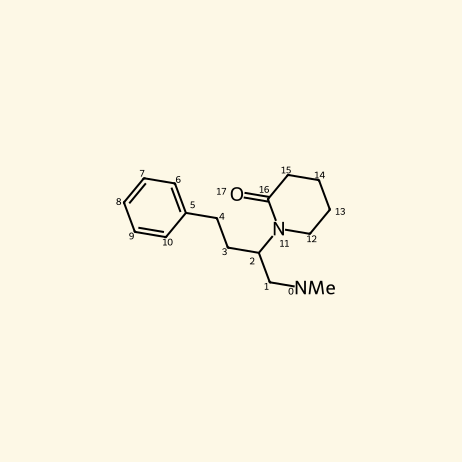 CNCC(CCc1ccccc1)N1CCCCC1=O